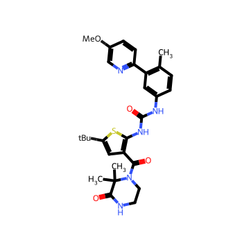 COc1ccc(-c2cc(NC(=O)Nc3sc(C(C)(C)C)cc3C(=O)N3CCNC(=O)C3(C)C)ccc2C)nc1